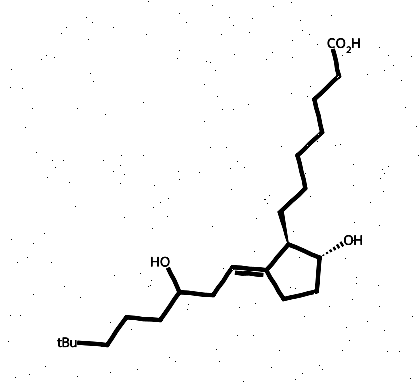 CC(C)(C)CCCC(O)CC=C1CC[C@@H](O)[C@@H]1CCCCCCC(=O)O